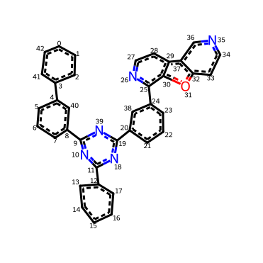 c1ccc(-c2cccc(-c3nc(-c4ccccc4)nc(-c4cccc(-c5nccc6c5oc5ccncc56)c4)n3)c2)cc1